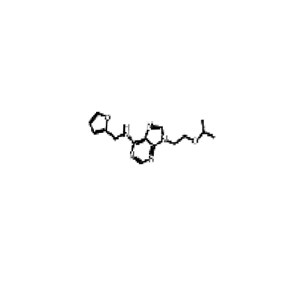 CC(C)OCCn1cnc2c(NCc3ccco3)ncnc21